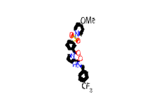 COC1CCN(S(=O)(=O)c2cccc(C(=O)N3CCC[C@@H]3C(=O)NCc3ccc(C(F)(F)F)cc3)c2)CC1